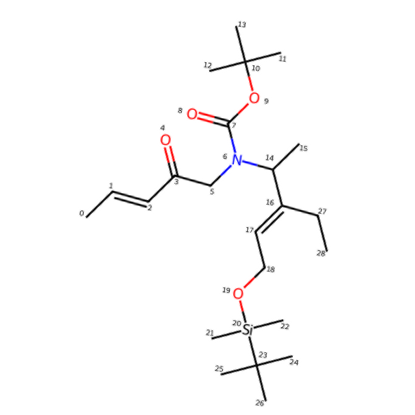 CC=CC(=O)CN(C(=O)OC(C)(C)C)C(C)C(=CCO[Si](C)(C)C(C)(C)C)CC